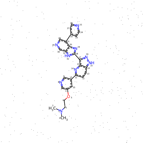 CN(C)CCOc1cncc(-c2ccc3[nH]nc(-c4nc5c(-c6ccncc6)cncc5[nH]4)c3n2)c1